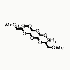 COCCOCOCOCCOC.[SiH3]OCOCO[SiH3]